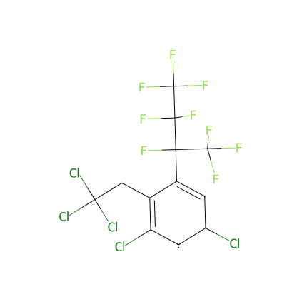 FC(F)(F)C(F)(F)C(F)(C1=CC(Cl)[CH]C(Cl)=C1CC(Cl)(Cl)Cl)C(F)(F)F